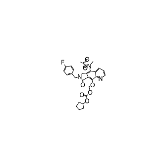 CN(c1c2c(c(OCOC(=O)OC3CCCC3)c3ncccc13)C(=O)N(Cc1ccc(F)cc1)C2)S(C)(=O)=O